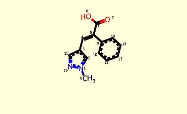 Cn1cc(/C=C(/C(=O)O)c2ccccc2)cn1